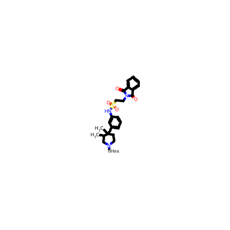 CCCCCCN1CCC(C)(c2cccc(NS(=O)(=O)CCN3C(=O)c4ccccc4C3=O)c2)C(C)C1